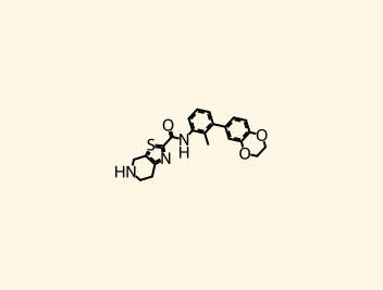 Cc1c(NC(=O)c2nc3c(s2)CNCC3)cccc1-c1ccc2c(c1)OCCO2